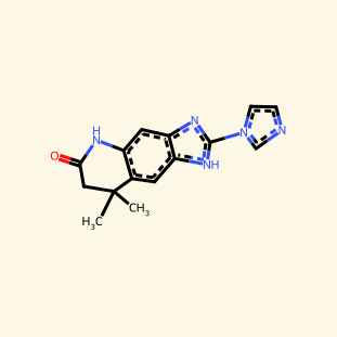 CC1(C)CC(=O)Nc2cc3nc(-n4ccnc4)[nH]c3cc21